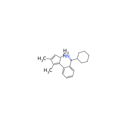 CC1=CC(C)C(c2ccccc2C(=N)C2CCCCC2)=C1C